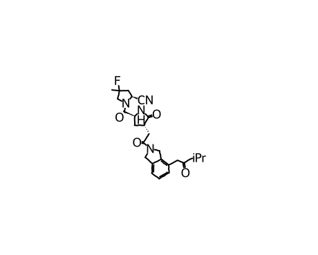 CC(C)C(=O)Cc1cccc2c1CN(C(=O)C[C@@H]1C[C@@H](C(=O)N3CC(C)(F)C[C@H]3C#N)NC1=O)C2